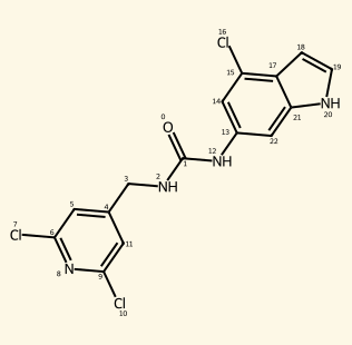 O=C(NCc1cc(Cl)nc(Cl)c1)Nc1cc(Cl)c2cc[nH]c2c1